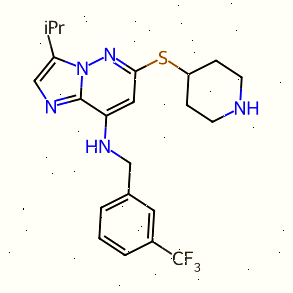 CC(C)c1cnc2c(NCc3cccc(C(F)(F)F)c3)cc(SC3CCNCC3)nn12